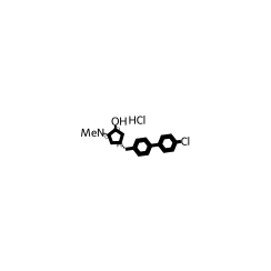 CN[C@H]1C[C@@H](Cc2ccc(-c3ccc(Cl)cc3)cc2)C[C@@H]1O.Cl